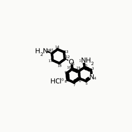 Cl.Nc1cncc2cccc(O[C@H]3CC[C@H](N)CC3)c12